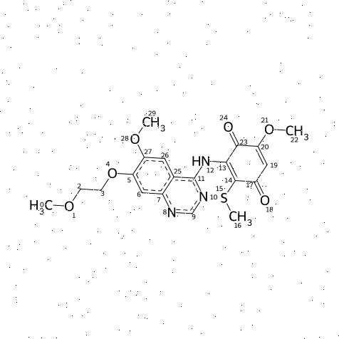 COCCOc1cc2ncnc(NC3=C(SC)C(=O)C=C(OC)C3=O)c2cc1OC